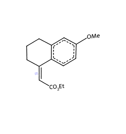 CCOC(=O)/C=C1/CCCc2cc(OC)ccc21